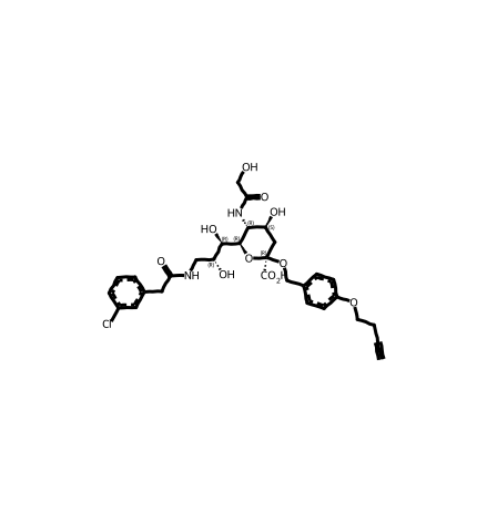 C#CCCOc1ccc(CO[C@]2(C(=O)O)C[C@H](O)[C@@H](NC(=O)CO)[C@H]([C@H](O)[C@H](O)CNC(=O)Cc3cccc(Cl)c3)O2)cc1